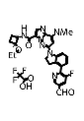 CCO[C@@H]1CC[C@H]1NC(=O)c1cnc2c(NC)cc(N3CCc4c(-c5ncc(C=O)cc5F)cccc43)nn12.O=C(O)C(F)(F)F